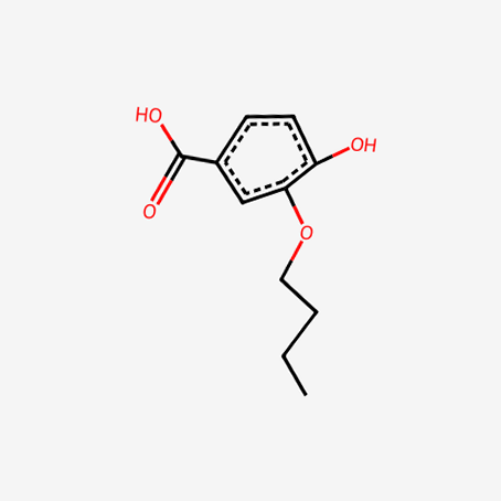 CCCCOc1cc(C(=O)O)ccc1O